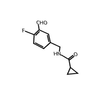 O=Cc1cc(CNC(=O)C2CC2)ccc1F